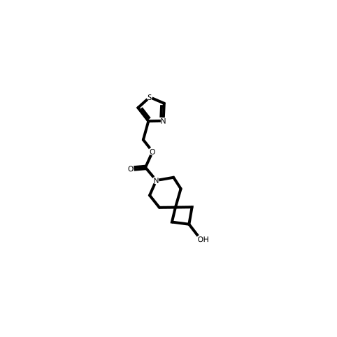 O=C(OCc1cscn1)N1CCC2(CC1)CC(O)C2